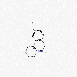 CN1CC[C@@]23CCCC[C@@]12CCc1ccc(OC(F)(F)F)cc13